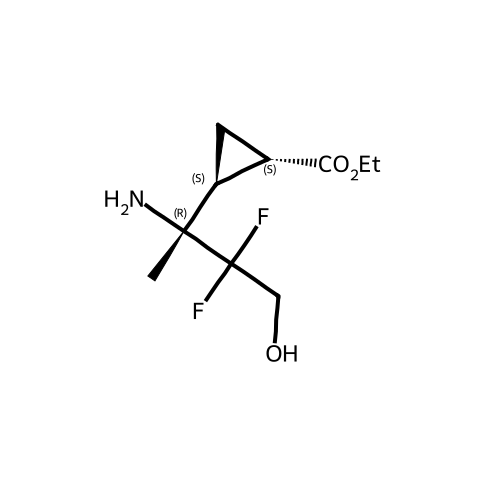 CCOC(=O)[C@H]1C[C@@H]1[C@@](C)(N)C(F)(F)CO